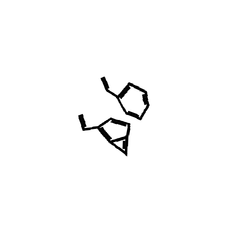 C=Cc1ccc2cc1-2.C=Cc1ccccc1